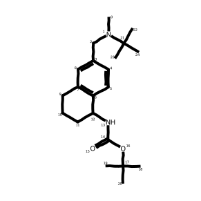 CN(Cc1ccc2c(c1)CCCC2NC(=O)OC(C)(C)C)C(C)(C)C